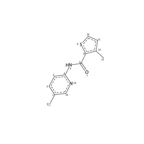 [C]c1ccc(NC(=O)c2sccc2C)nc1